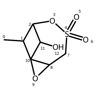 CC1C2OS(=O)(=O)CC3OC31C2O